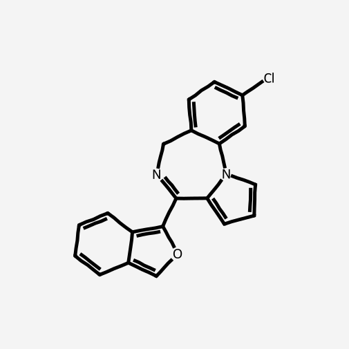 Clc1ccc2c(c1)-n1cccc1C(c1occ3ccccc13)=NC2